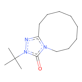 CC(C)(C)n1nc2n(c1=O)CCCCCCCC2